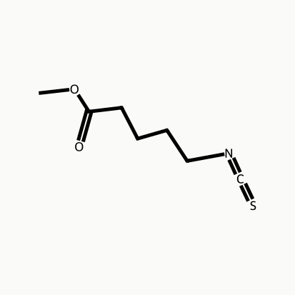 COC(=O)CCCCN=C=S